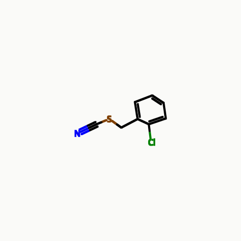 N#CSCc1ccccc1Cl